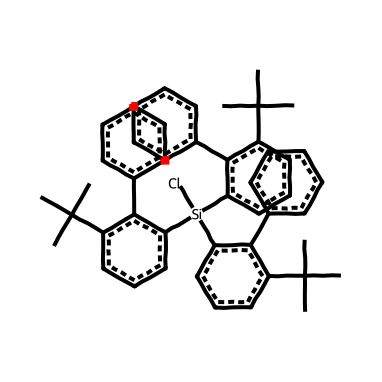 CC(C)(C)c1cccc([Si](Cl)(c2cccc(C(C)(C)C)c2-c2ccccc2)c2cccc(C(C)(C)C)c2-c2ccccc2)c1-c1ccccc1